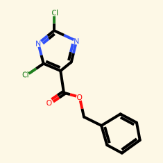 O=C(OCc1ccccc1)c1cnc(Cl)nc1Cl